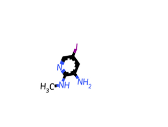 CNc1ncc(I)cc1N